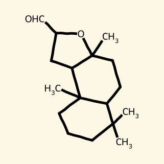 CC1(C)CCCC2(C)C1CCC1(C)OC(C=O)CC12